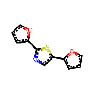 c1coc(-c2cnc(-c3ccco3)s2)c1